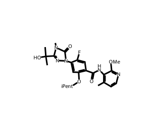 CCCC(C)Oc1cc(-n2nc(C(C)(C)O)n(C)c2=O)c(F)cc1C(=O)Nc1c(C)ccnc1OC